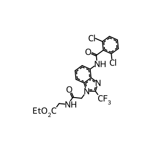 CCOC(=O)CNC(=O)Cn1c(C(F)(F)F)nc2c(NC(=O)c3c(Cl)cccc3Cl)cccc21